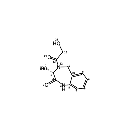 CCC(C)[C@H]1C(=O)Nc2ccccc2CN1C(=O)CO